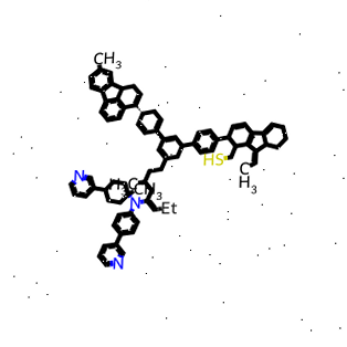 C/C=C1\C2=C(C=CC(c3ccc(C4C=C(C5=CC[C@@H](C6=CCC7c8cc(C)ccc8-c8cccc6c87)C=C5)C=C(CCC(C)C/C(=C\CC)N(c5ccc(-c6cccnc6)cc5)C5(C)CCC(c6cccnc6)CC5)C4)cc3)C2CS)C2=CCCCC21